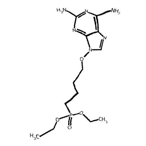 CCOP(=O)(CCCCOn1cnc2c(N)nc(N)nc21)OCC